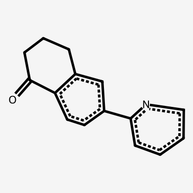 O=C1CCCc2cc(-c3ccccn3)ccc21